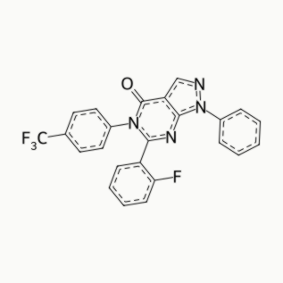 O=c1c2cnn(-c3ccccc3)c2nc(-c2ccccc2F)n1-c1ccc(C(F)(F)F)cc1